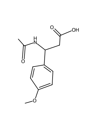 COc1ccc(C(CC(=O)O)NC(C)=O)cc1